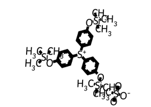 CS(=O)(=O)[O-].C[Si](C)(C)Oc1ccc([S+](c2ccc(O[Si](C)(C)C)cc2)c2ccc(O[Si](C)(C)C)cc2)cc1